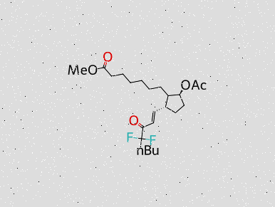 CCCCC(F)(F)C(=O)/C=C/[C@H]1CC[C@H](OC(C)=O)C1CCCCCCC(=O)OC